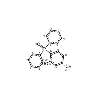 O=P(c1ccccc1)(c1ccccc1)c1ccccc1O.[LiH]